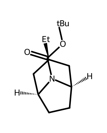 CC[C@H]1C[C@H]2CC[C@@H](C1)N2C(=O)OC(C)(C)C